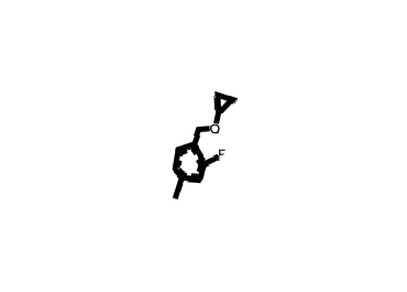 Cc1ccc(COC2CC2)c(F)c1